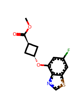 COC(=O)[C@H]1C[C@H](Oc2cc(F)cc3scnc23)C1